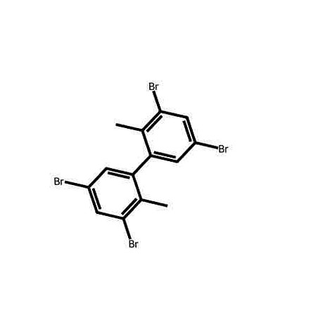 Cc1c(Br)cc(Br)cc1-c1cc(Br)cc(Br)c1C